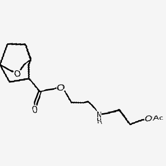 CC(=O)OCCNCCOC(=O)C1CC2CCC1O2